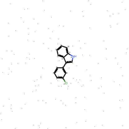 Clc1cc[c]c(-c2c[nH]c3ccccc23)c1